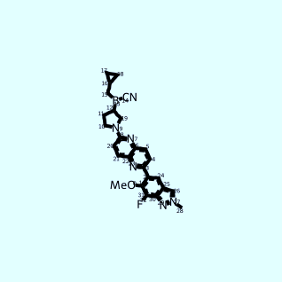 COc1c(-c2ccc3nc(N4CCC(B(C#N)CC5CC5)C4)ccc3n2)cc2cn(C)nc2c1F